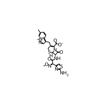 CO/N=C(\C(=O)N[C@@H]1C(=O)N2C(C(=O)[O-])=C(CC3=C4C=CC(C)=C[N+]4(C)N=C3)CS[C@@H]12)c1csc(N)n1